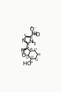 Cn1c([N+](=O)[O-])cnc1C1=NOC2C(O)CCCC12